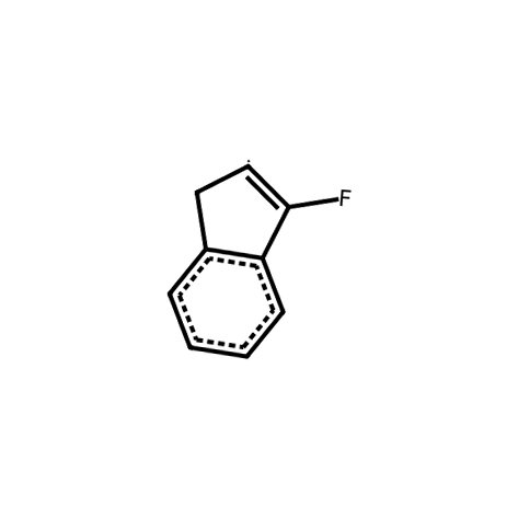 FC1=[C]Cc2ccccc21